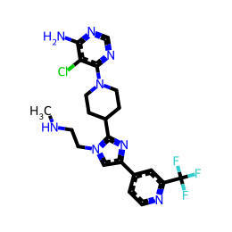 CNCCn1cc(-c2ccnc(C(F)(F)F)c2)nc1C1CCN(c2ncnc(N)c2Cl)CC1